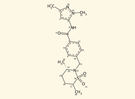 Cc1cc(NC(=O)c2ccc(CN3[C@@H](C)CCC(C)S3(=O)=O)cc2)n(C)n1